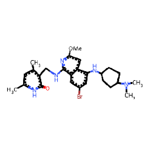 COc1cc2c(NC3CCC(N(C)C)CC3)cc(Br)cc2c(NCc2c(C)cc(C)[nH]c2=O)n1